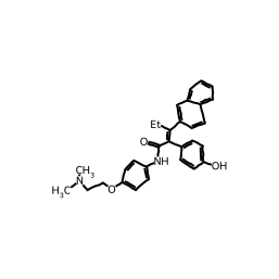 CCC(=C(C(=O)Nc1ccc(OCCN(C)C)cc1)c1ccc(O)cc1)c1ccc2ccccc2c1